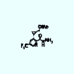 COC[C@@H]1C[C@H]1c1cc(C(F)(F)F)cnc1C(=O)NN